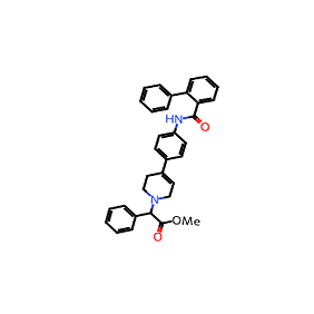 COC(=O)C(c1ccccc1)N1CC=C(c2ccc(NC(=O)c3ccccc3-c3ccccc3)cc2)CC1